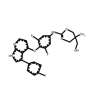 CC1(CO)CN=C(Nc2cc(F)c(Oc3ccnc4[nH]cc(-c5ccc(F)cc5)c34)c(F)c2)OC1